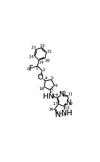 FC(CO[C@H]1CC[C@@H](Nc2ncnc3[nH]ncc23)C1)c1ccccc1